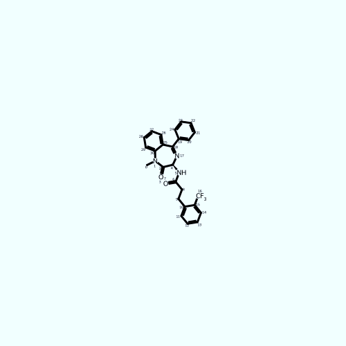 CN1C(=O)[C@H](NC(=O)CCc2ccccc2C(F)(F)F)N=C(c2ccccc2)c2ccccc21